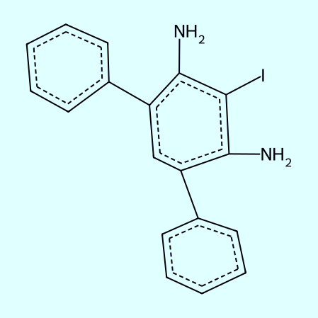 Nc1c(-c2ccccc2)cc(-c2ccccc2)c(N)c1I